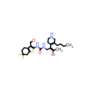 CCCCC1=C(/C(CNC(=O)Nc2sc3c(c2C=O)CCC(F)(F)C3)=C(\C)Br)CCNC1